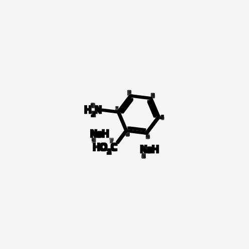 Nc1ccccc1C(=O)O.[NaH].[NaH]